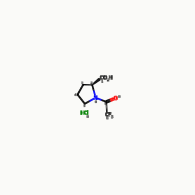 Cl.O=C(O)[C@@H]1CCCN1C(=O)C(F)(F)F